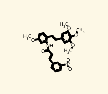 COc1ccc(C=Cc2cc(OC)c(OC)c(OC)c2)c(NC(=O)/C=C/c2cccc([N+](=O)[O-])c2)c1